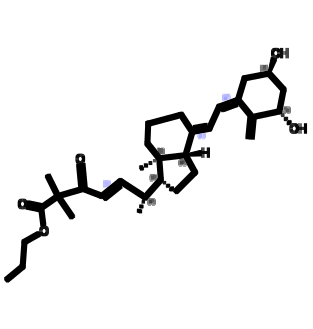 C=C1/C(=C\C=C2/CCC[C@]3(C)[C@@H]([C@H](C)/C=C/C(=O)C(C)(C)C(=O)OCCC)CC[C@@H]23)C[C@@H](O)C[C@@H]1O